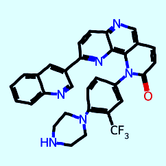 O=c1ccc2cnc3ccc(-c4cnc5ccccc5c4)nc3c2n1-c1ccc(N2CCNCC2)c(C(F)(F)F)c1